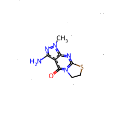 Cn1nc(N)c2c(=O)n3c(nc21)SCC3